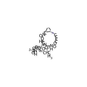 C=C[C@@H]1C[C@]1(NC(=O)[C@@H]1C[C@@H]2CN1C(=O)[C@H](CCCC)NC(=O)OCCCC/C=C\c1cccc3c1CN(C3)C(=O)O2)C(=O)NS(=O)(=O)C1CC1